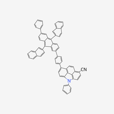 N#Cc1ccc2c3c1ccc1c(-c4ccc(-c5ccc6c(-c7ccc8ccccc8c7)c7cc(-c8ccccc8)ccc7c(-c7ccc8ccccc8c7)c6c5)cc4)ccc(c13)n2-c1ccccc1